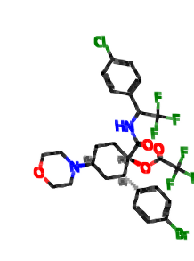 O=C(O[C@]1(C(=O)NC(c2ccc(Cl)cc2)C(F)(F)F)CC[C@H](N2CCOCC2)C[C@H]1c1ccc(Br)cc1)C(F)(F)F